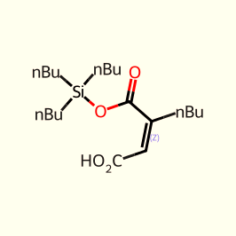 CCCC/C(=C/C(=O)O)C(=O)O[Si](CCCC)(CCCC)CCCC